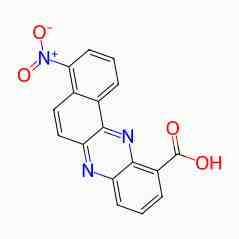 O=C(O)c1cccc2nc3ccc4c([N+](=O)[O-])cccc4c3nc12